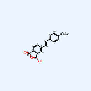 CC(=O)Oc1ccc(/C=C/c2ccc3c(c2)C(O)OC3=O)cc1